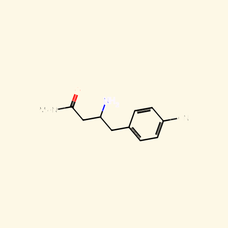 CNC(=O)CC(N)Cc1ccc(C#N)cc1